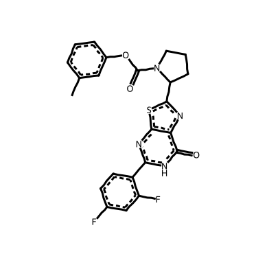 Cc1cccc(OC(=O)N2CCCC2c2nc3c(=O)[nH]c(-c4ccc(F)cc4F)nc3s2)c1